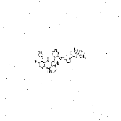 CCOc1c(F)cccc1Nc1c(-c2ccncc2OC[C@H]2CCN2C(=O)OC(C)(C)C)[nH]c2c1C(=O)NCC2